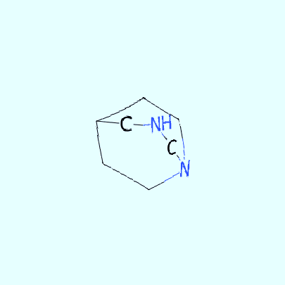 C1CN2CCC1CNC2